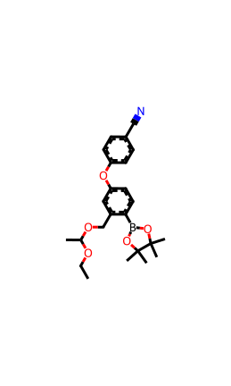 CCOC(C)OCc1cc(Oc2ccc(C#N)cc2)ccc1B1OC(C)(C)C(C)(C)O1